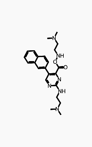 CN(C)CCNOC(=O)c1nc(NCCN(C)C)ncc1-c1ccc2ccccc2c1